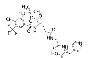 CC(C)(C)OC(=O)[C@H](CCC(=O)NCC(=O)N[C@@H](Cc1ccncc1)C(=O)O)NS(=O)(=O)c1ccc(Cl)c(C(F)(F)F)c1